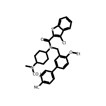 CCOc1ccc(-c2ccc(C#N)cc2)cc1CN(C(=O)c1sc2ccccc2c1Cl)C1CCC(N(C)C(=O)O)CC1